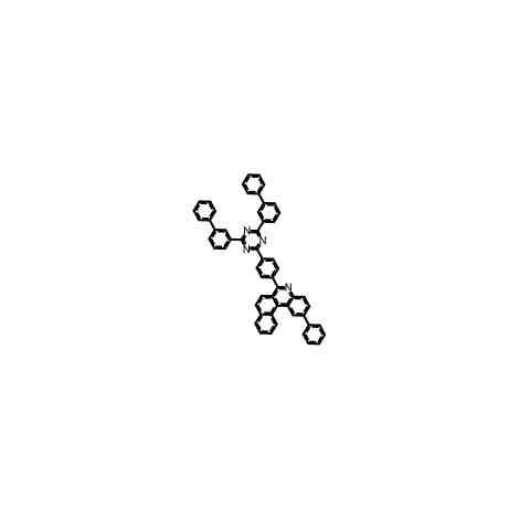 c1ccc(-c2cccc(-c3nc(-c4ccc(-c5nc6ccc(-c7ccccc7)cc6c6c5ccc5ccccc56)cc4)nc(-c4cccc(-c5ccccc5)c4)n3)c2)cc1